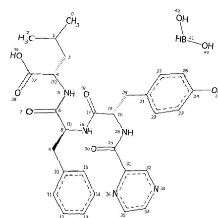 CC(C)C[C@H](NC(=O)[C@H](Cc1ccccc1)NC(=O)[C@H](Cc1ccc(O)cc1)NC(=O)c1cnccn1)C(=O)O.OBO